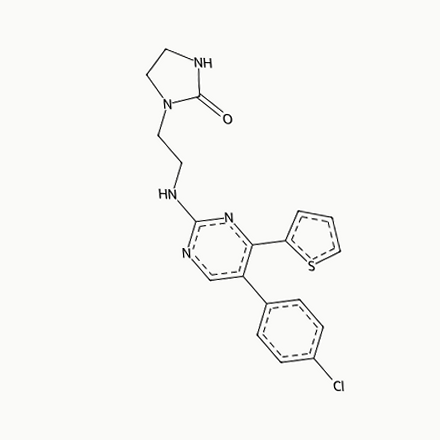 O=C1NCCN1CCNc1ncc(-c2ccc(Cl)cc2)c(-c2cccs2)n1